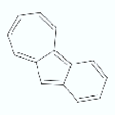 c1ccc2cc3ccccc3c-2cc1